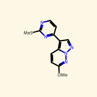 COc1ccc2c(-c3ccnc(SC)n3)cnn2n1